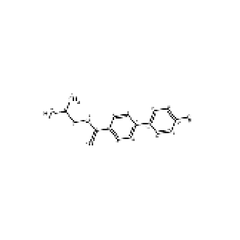 CC(C)COC(=O)c1ccc(-c2ccc(O)cc2)cc1